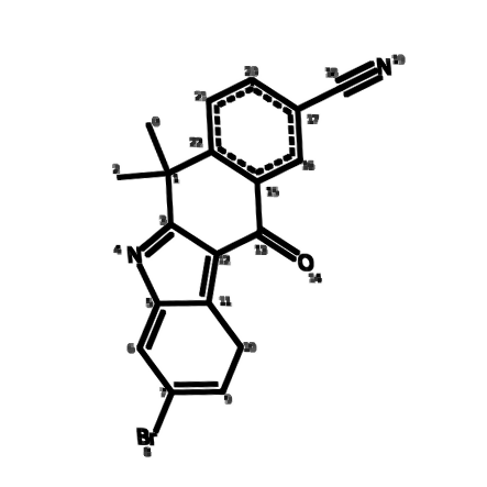 CC1(C)C2=NC3=CC(Br)=CCC3=C2C(=O)c2cc(C#N)[c]cc21